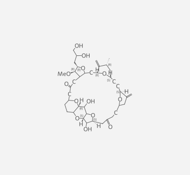 C=C1CC2CCC(=O)C[C@@H]3OC4C(O)[C@H]5OC(CCC5O[C@H]4C3O)CC(=O)CC3C(C[C@H]4O[C@@H](CC[C@@H]1O2)C[C@@H](C)C4=C)O[C@H](CC(O)CO)[C@@H]3OC